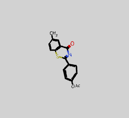 CC(=O)Oc1ccc(-c2nc(=O)c3cc(C)ccc3s2)cc1